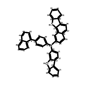 c1ccc2c(-c3ccc(N(c4ccc5c(c4)oc4ccccc45)c4ccc5ccc6c7ccccc7sc6c5c4)cc3)cccc2c1